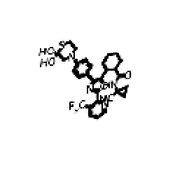 N#CC1(NC(=O)C2CCCCC2c2oc(-c3ncccc3C(F)(F)F)nc2-c2ccc(N3CCSC(O)(O)C3)cc2)CC1